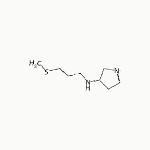 CSCCCNC1CC[N]C1